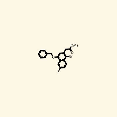 COC(=O)Cc1cc(OCc2ccccc2)c2cc(F)ccc2c1Br